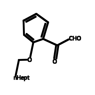 CCCCCCCCOc1ccccc1C(=O)C=O